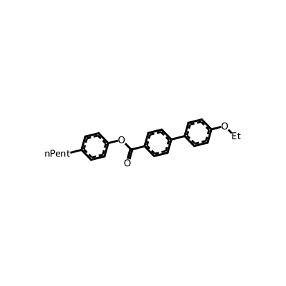 CCCCCc1ccc(OC(=O)c2ccc(-c3ccc(OCC)cc3)cc2)cc1